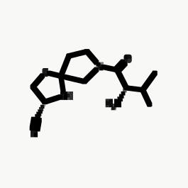 CC(C)[C@H](N)C(=O)N1CCC2(C1)N[C@H](C#N)CS2